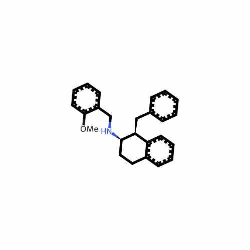 COc1ccccc1CN[C@@H]1CCc2ccccc2[C@@H]1Cc1ccccc1